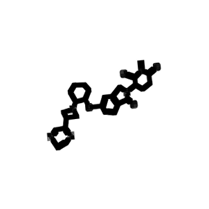 O=C1CCC(N2Cc3cc(O[C@@H]4CCCC[C@@H]4N4CC(c5cnccn5)C4)ccc3C2=O)C(=O)N1